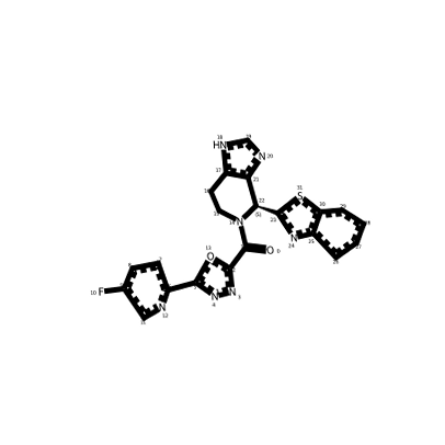 O=C(c1nnc(-c2ccc(F)cn2)o1)N1CCc2[nH]cnc2[C@H]1c1nc2ccccc2s1